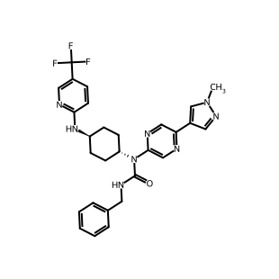 Cn1cc(-c2cnc(N(C(=O)NCc3ccccc3)[C@H]3CC[C@H](Nc4ccc(C(F)(F)F)cn4)CC3)cn2)cn1